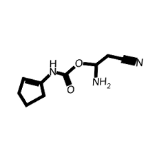 N#CCC(N)OC(=O)NC1=CCCC1